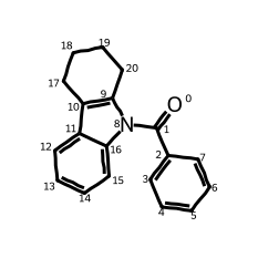 O=C(c1ccccc1)n1c2c(c3ccccc31)CCCC2